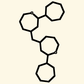 C1CCCC(C2CC(CC3CCCOC(C4CCCCCC4)C3)CCCO2)CC1